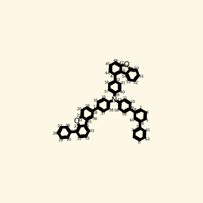 c1ccc(-c2cccc(-c3ccc(N(c4ccc(-c5ccc6oc7c(-c8ccccc8)cccc7c6c5)cc4)c4ccc(-c5cccc6oc7ccccc7c56)cc4)cc3)c2)cc1